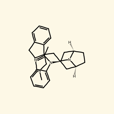 CNCC1(CCN2[C@@H]3CC[C@H]2C[C@@H](n2c(C)nc4ccccc42)C3)CCc2ccccc21